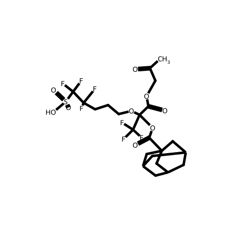 CC(=O)COC(=O)C(OCCCC(F)(F)C(F)(F)S(=O)(=O)O)(OC(=O)C12CC3CC(CC(C3)C1)C2)C(F)(F)F